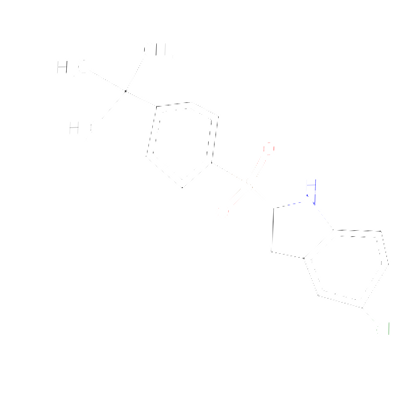 CC(C)(C)c1ccc(S(=O)(=O)C2Cc3cc(Cl)ccc3N2)cc1